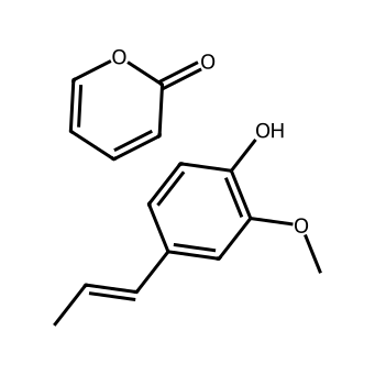 CC=Cc1ccc(O)c(OC)c1.O=c1cccco1